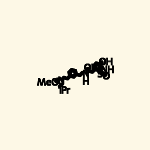 COCN(CCc1cccc(CCNC(O)Cc2ccc(O)c3[nH]c(=O)sc23)c1)CCC(C)C